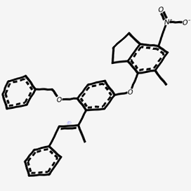 C/C(=C\c1ccccc1)c1cc(Oc2c(C)cc([N+](=O)[O-])c3c2CCC3)ccc1OCc1ccccc1